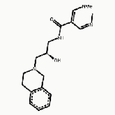 C/N=C\C(=C/NC)C(=O)NC[C@@H](O)CN1CCc2ccccc2C1